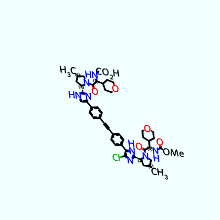 COC(=O)N[C@H](C(=O)N1C[C@@H](C)C[C@H]1c1nc(Cl)c(-c2ccc(C#Cc3ccc(-c4c[nH]c([C@@H]5C[C@H](C)CN5C(=O)[C@@H](NC(=O)O)C5CCOCC5)n4)cc3)cc2)[nH]1)C1CCOCC1